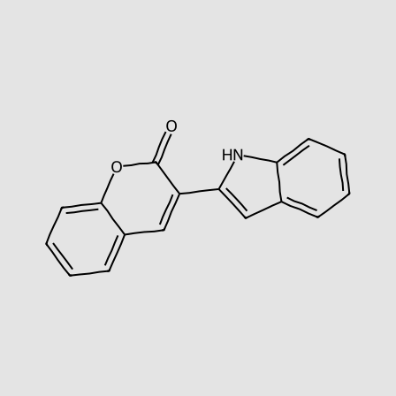 O=c1oc2ccccc2cc1-c1cc2ccccc2[nH]1